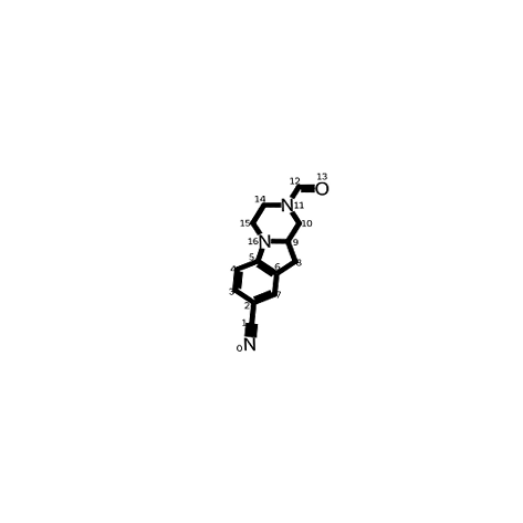 N#Cc1ccc2c(c1)CC1CN(C=O)CCN21